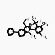 CCC(C)(CC)c1c(C)cc(C)cc1-c1cc(CC(C)C)c2cc(-c3ccccc3)ccc2[n+]1C